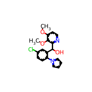 COc1ccnc(C(O)c2cc(Cl)ccc2-n2cccc2)c1OC